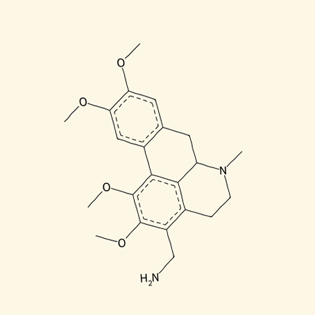 COc1cc2c(cc1OC)-c1c(OC)c(OC)c(CN)c3c1C(C2)N(C)CC3